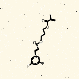 C=C(C)C(=O)OCCCOC(=O)/C=C/c1cc(F)cc(F)c1